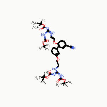 CC(C)(C)OC(=O)/N=C(/NCCOc1ccc(C#N)cc1-c1cccc(OCCN/C(=N\C(=O)OC(C)(C)C)NC(=O)OC(C)(C)C)c1)NC(=O)OC(C)(C)C